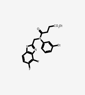 CCOC(=O)CCC(=O)N(Cc1nc2c(F)c(F)ccc2s1)c1cccc(CC)c1